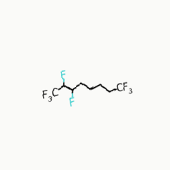 FC(CCCCC(F)(F)F)C(F)C(F)(F)F